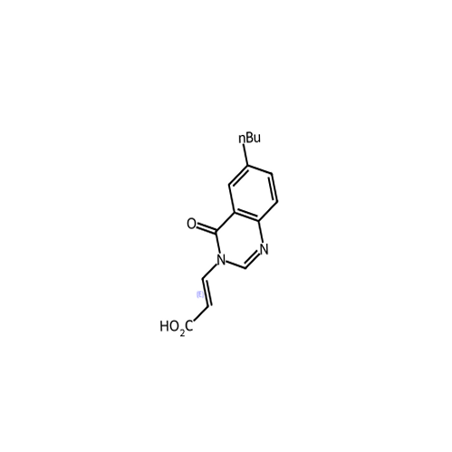 CCCCc1ccc2ncn(/C=C/C(=O)O)c(=O)c2c1